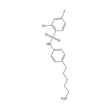 NCCCCCc1ccc(NS(=O)(=O)c2ccc(F)cc2Cl)cc1